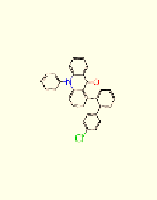 O=c1c2ccccc2n(-c2ccccc2)c2cccc(-c3ccccc3-c3ccc(Cl)cc3)c12